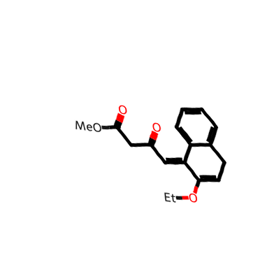 CCOC1=CCc2ccccc2C1=CC(=O)CC(=O)OC